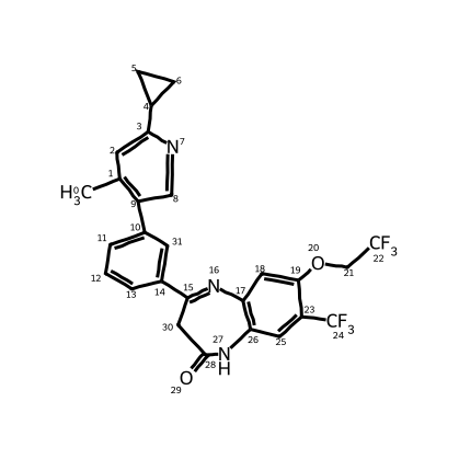 Cc1cc(C2CC2)ncc1-c1cccc(C2=Nc3cc(OCC(F)(F)F)c(C(F)(F)F)cc3NC(=O)C2)c1